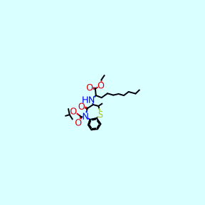 CCCCCCCCC(NC1C(=O)N(C(=O)OC(C)(C)C)c2ccccc2SC1C)C(=O)OCC